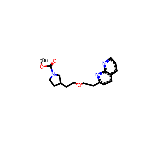 CC(C)(C)OC(=O)N1CCC(CCOCCc2ccc3cccnc3n2)C1